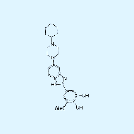 COc1cc(-c2nc3cc(N4CCN(C5CCCCC5)CC4)ccc3[nH]2)cc(O)c1O